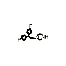 Fc1ccc(C(CCCN2CCCNCC2)c2ccc(F)cc2)cc1